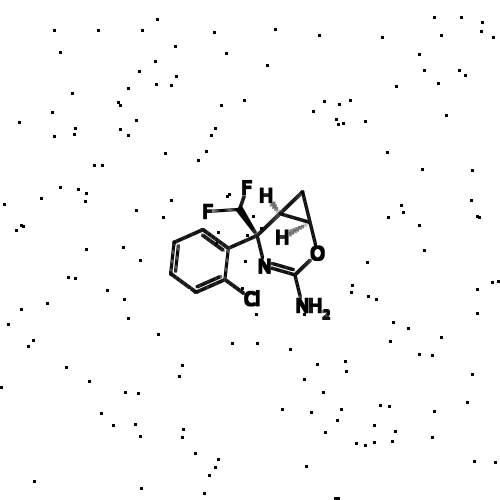 NC1=N[C@@](c2ccccc2Cl)(C(F)F)[C@H]2C[C@H]2O1